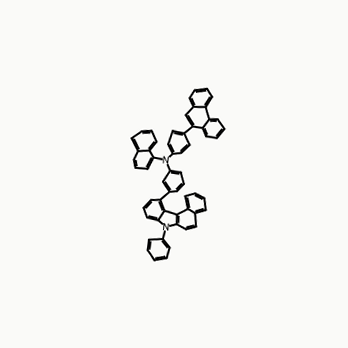 c1ccc(-n2c3cccc(-c4cccc(N(c5ccc(-c6cc7ccccc7c7ccccc67)cc5)c5cccc6ccccc56)c4)c3c3c4ccccc4ccc32)cc1